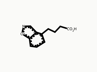 O=C(O)CCCc1cccc2oncc12